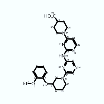 CCOc1ccccc1OC1CCCN(c2cncc(Nc3nccc(N4CCC(C(=O)O)CC4)n3)n2)C1